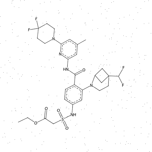 CCOC(=O)CS(=O)(=O)Nc1ccc(C(=O)Nc2cc(C)cc(N3CCC(F)(F)CC3)n2)c(N2CCC3(C(F)F)CC2C3)c1